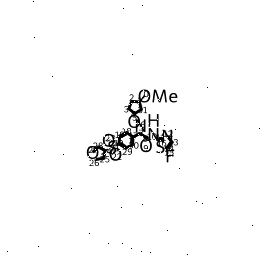 CO[C@@H]1CC[C@@H](O/N=C(/C(=O)Nc2ncc(F)s2)c2ccc(S(=O)(=O)[C@H]3CCOC3)cc2)C1